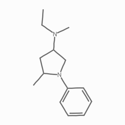 CCN(C)C1CC(C)N(c2ccccc2)C1